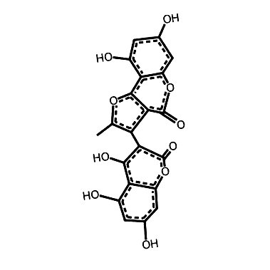 Cc1oc2c(c1-c1c(O)c3c(O)cc(O)cc3oc1=O)c(=O)oc1cc(O)cc(O)c12